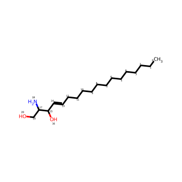 CCCCCCCCCCCCCC=CC(O)C(N)[CH]O